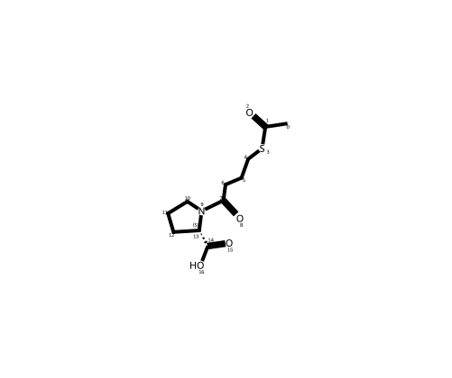 CC(=O)SCCCC(=O)N1CCC[C@H]1C(=O)O